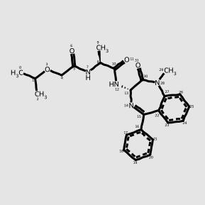 CC(C)OCC(=O)N[C@@H](C)C(=O)N[C@H]1N=C(c2ccccc2)c2ccccc2N(C)C1=O